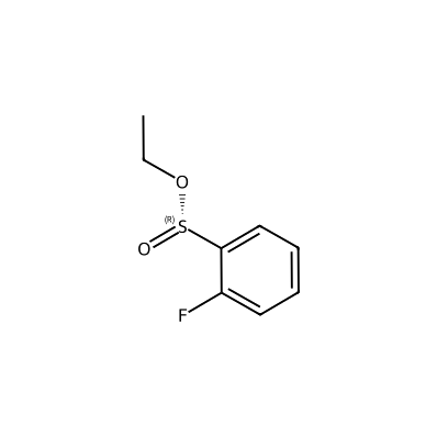 CCO[S@@](=O)c1ccccc1F